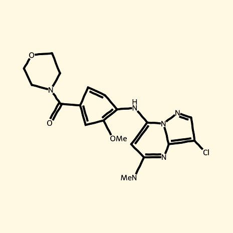 CNc1cc(Nc2ccc(C(=O)N3CCOCC3)cc2OC)n2ncc(Cl)c2n1